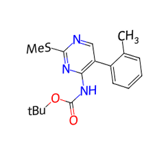 CSc1ncc(-c2ccccc2C)c(NC(=O)OC(C)(C)C)n1